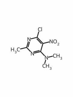 Cc1nc(Cl)c([N+](=O)[O-])c(N(C)C)n1